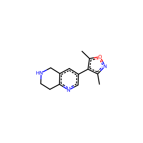 Cc1noc(C)c1-c1cnc2c(c1)CNCC2